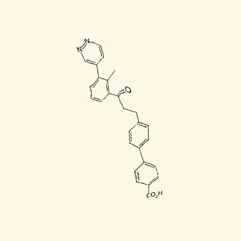 Cc1c(C(=O)CCc2ccc(-c3ccc(C(=O)O)cc3)cc2)cccc1-c1ccnnc1